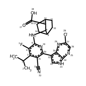 CC(C)c1c(F)c(NC2C3CCC(CC3)C2C(=O)O)nc(-c2c[nH]c3ncc(Cl)nc23)c1C#N